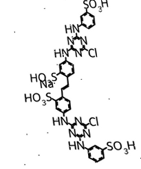 O=S(=O)(O)c1cccc(Nc2nc(Cl)nc(Nc3ccc(C=Cc4ccc(Nc5nc(Cl)nc(Nc6cccc(S(=O)(=O)O)c6)n5)cc4S(=O)(=O)O)c(S(=O)(=O)O)c3)n2)c1.[Na]